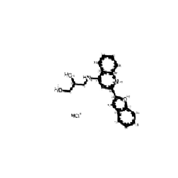 Cl.OCC(O)CNc1cc(-c2cc3ccccc3o2)nc2ccccc12